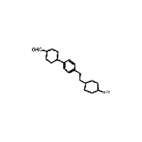 CCCC1CCC(CCc2ccc(C3CCC(C=O)CC3)cc2)CC1